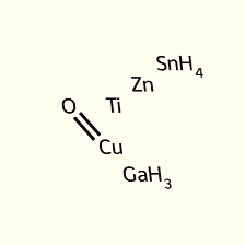 [GaH3].[O]=[Cu].[SnH4].[Ti].[Zn]